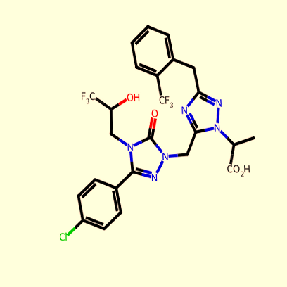 CC(C(=O)O)n1nc(Cc2ccccc2C(F)(F)F)nc1Cn1nc(-c2ccc(Cl)cc2)n(CC(O)C(F)(F)F)c1=O